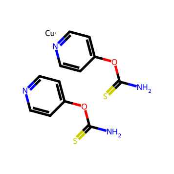 NC(=S)Oc1ccncc1.NC(=S)Oc1ccncc1.[Cu]